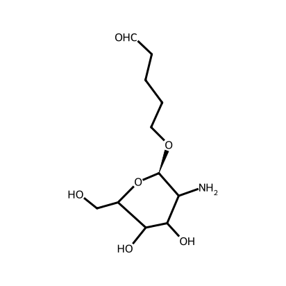 NC1C(O)C(O)C(CO)O[C@H]1OCCCCC=O